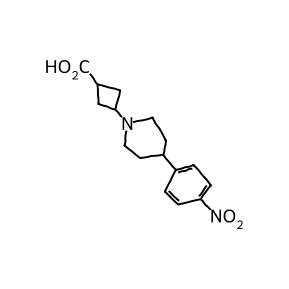 O=C(O)C1CC(N2CCC(c3ccc([N+](=O)[O-])cc3)CC2)C1